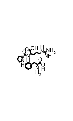 N=C(N)NCCCC(NC(=O)[C@@H]1CCCN1)C(=O)O.NC(Cc1ccccc1)C(=O)O